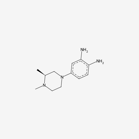 C[C@H]1CN(c2ccc(N)c(N)c2)CCN1C